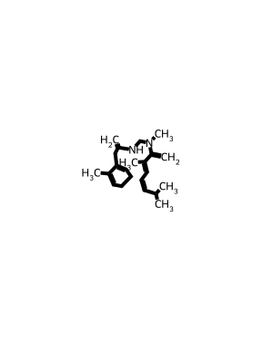 C=C(CC1=CCCC=C1C)NCN(C)C(=C)/C(C)=C/C=C\C(C)C